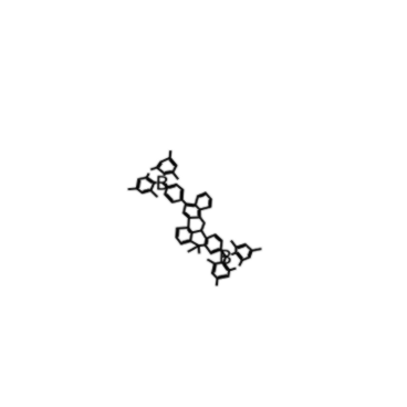 Cc1cc(C)c(B(c2ccc(-c3cc4c(c5ccccc35)CC3c5ccc(B(c6c(C)cc(C)cc6C)c6c(C)cc(C)cc6C)cc5C(C)(C)c5cccc-4c53)cc2)c2c(C)cc(C)cc2C)c(C)c1